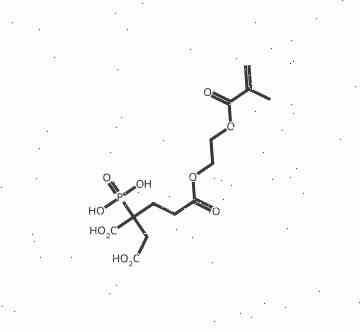 C=C(C)C(=O)OCCOC(=O)CCC(CC(=O)O)(C(=O)O)P(=O)(O)O